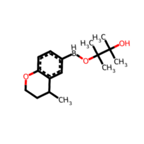 CC1CCOc2ccc(BOC(C)(C)C(C)(C)O)cc21